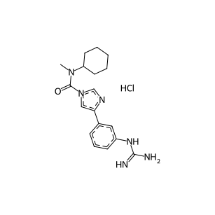 CN(C(=O)n1cnc(-c2cccc(NC(=N)N)c2)c1)C1CCCCC1.Cl